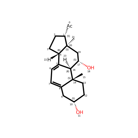 CC(=O)[C@H]1CC[C@H]2C3=CC=C4C[C@@H](O)CC[C@@]4(C)[C@@H]3[C@@H](O)C[C@]12C